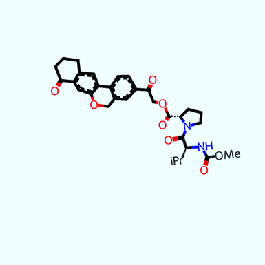 COC(=O)N[C@H](C(=O)N1CCC[C@H]1C(=O)OCC(=O)c1ccc2c(c1)COc1cc3c(cc1-2)CCCC3=O)C(C)C